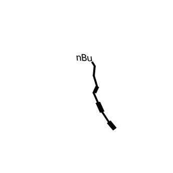 C#CC#CC=CCCCCCC